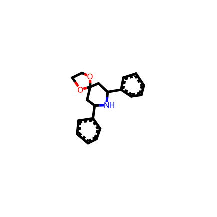 c1ccc(C2CC3(CC(c4ccccc4)N2)OCCO3)cc1